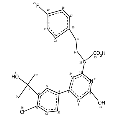 CC(C)(O)c1cc(-c2nc(O)nc(N(CCc3ccc(F)cc3)C(=O)O)n2)ccc1Cl